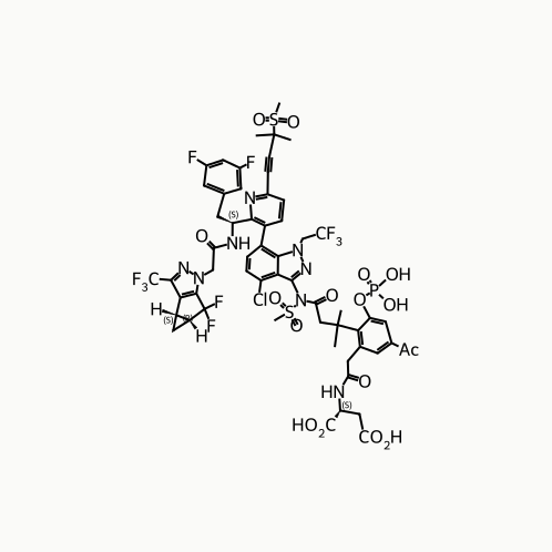 CC(=O)c1cc(CC(=O)N[C@@H](CC(=O)O)C(=O)O)c(C(C)(C)CC(=O)N(c2nn(CC(F)(F)F)c3c(-c4ccc(C#CC(C)(C)S(C)(=O)=O)nc4[C@H](Cc4cc(F)cc(F)c4)NC(=O)Cn4nc(C(F)(F)F)c5c4C(F)(F)[C@@H]4C[C@H]54)ccc(Cl)c23)S(C)(=O)=O)c(OP(=O)(O)O)c1